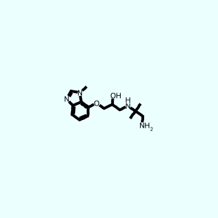 Cn1cnc2cccc(OCC(O)CNC(C)(C)CN)c21